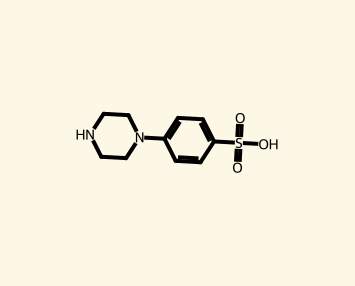 O=S(=O)(O)c1ccc(N2CCNCC2)cc1